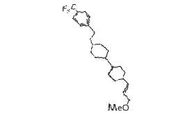 COCC=CC1CCC(C2CCC(CCc3ccc(C(F)(F)F)cc3)CC2)CC1